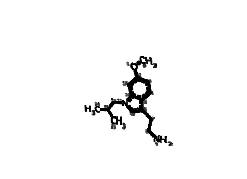 COc1ccc2c(CCN)cn(CC(C)C)c2c1